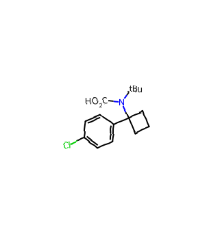 CC(C)(C)N(C(=O)O)C1(c2ccc(Cl)cc2)CCC1